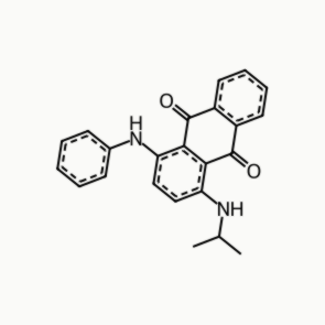 CC(C)Nc1ccc(Nc2ccccc2)c2c1C(=O)c1ccccc1C2=O